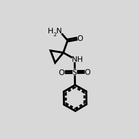 NC(=O)C1(NS(=O)(=O)c2ccccc2)CC1